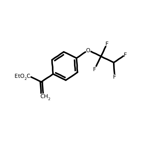 C=C(C(=O)OCC)c1ccc(OC(F)(F)C(F)F)cc1